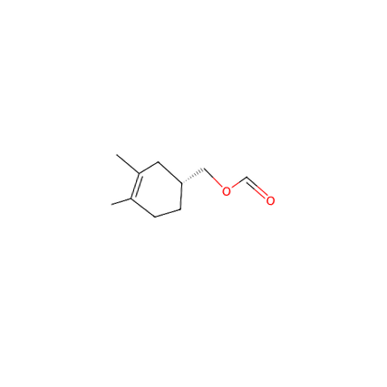 CC1=C(C)C[C@H](COC=O)CC1